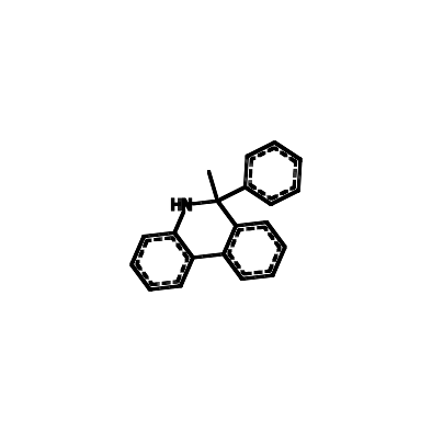 CC1(c2ccccc2)Nc2ccccc2-c2ccccc21